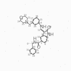 C[C@H](NC(=O)c1ccc2c(c1)/C(=C/Nc1cccc(CN3CCOCC3)c1)C(=O)N2)c1ccccc1